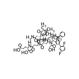 C[C@@H](C(=O)N[C@@H](CC(N)=O)C(=O)N[C@@H](CCN(C(=O)CO)[C@@H](c1cc(-c2cc(F)ccc2F)cn1Cc1ccccc1)C(C)(C)C)C(=O)NCCC(=O)N[C@H](CCC(=O)O)C(=O)O)N(C)C